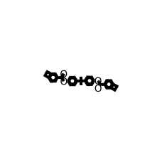 CC(C)(c1ccc(OC(=O)c2ccc3c(c2)CC3)cc1)c1ccc(OC(=O)c2ccc3c(c2)CC3)cc1